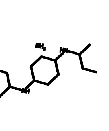 CCC(C)NC1CCC(NC(C)CC)CC1.N